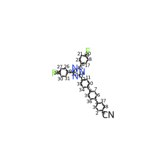 N#Cc1ccc(-c2ccc(-c3ccc(-c4nc(-c5ccc(F)cc5)nc(-c5ccc(F)cc5)n4)cc3)cc2)cc1